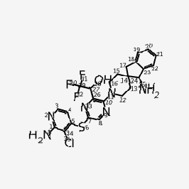 Nc1nccc(Sc2cnc(N3CCC4(CC3)Cc3ccccc3[C@H]4N)c(C(O)C(F)(F)F)n2)c1Cl